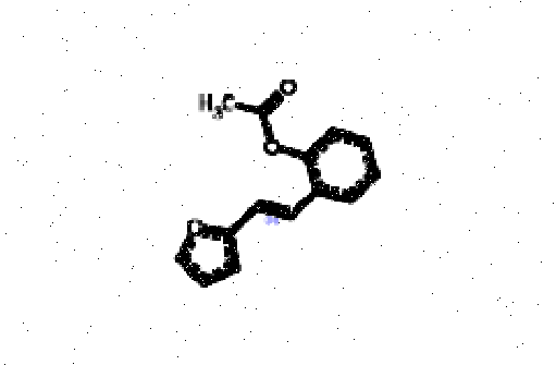 CC(=O)Oc1ccccc1/C=C/c1ccco1